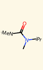 C[N]C(=O)N(C)C(C)C